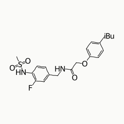 CCC(C)c1ccc(OCC(=O)NCc2ccc(NS(C)(=O)=O)c(F)c2)cc1